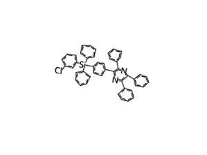 Clc1cccc([Si](c2ccccc2)(c2ccccc2)c2ccc(-c3nc(-c4ccccc4)c(-c4ccccc4)nc3-c3ccccc3)cc2)c1